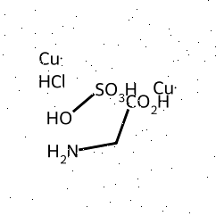 Cl.NCC(=O)O.O=S(=O)(O)O.[Cu].[Cu]